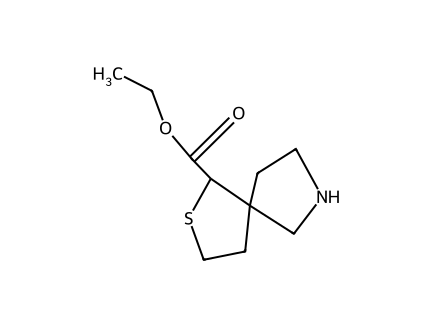 CCOC(=O)C1SCCC12CCNC2